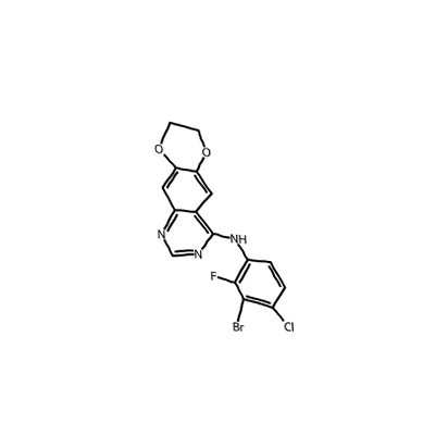 Fc1c(Nc2ncnc3cc4c(cc23)OCCO4)ccc(Cl)c1Br